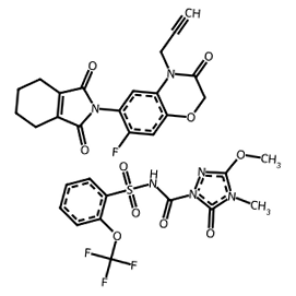 C#CCN1C(=O)COc2cc(F)c(N3C(=O)C4=C(CCCC4)C3=O)cc21.COc1nn(C(=O)NS(=O)(=O)c2ccccc2OC(F)(F)F)c(=O)n1C